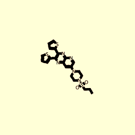 CCCS(=O)(=O)N1CCN(c2cnc3nc(-c4cccs4)c(-c4cccs4)nc3c2)CC1